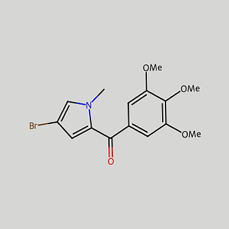 COc1cc(C(=O)c2cc(Br)cn2C)cc(OC)c1OC